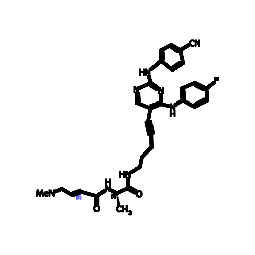 CNC/C=C/C(=O)N[C@@H](C)C(=O)NCCCC#Cc1cnc(Nc2ccc(C#N)cc2)nc1Nc1ccc(F)cc1